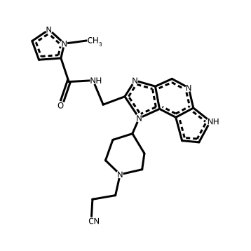 Cn1nccc1C(=O)NCc1nc2cnc3[nH]ccc3c2n1C1CCN(CCC#N)CC1